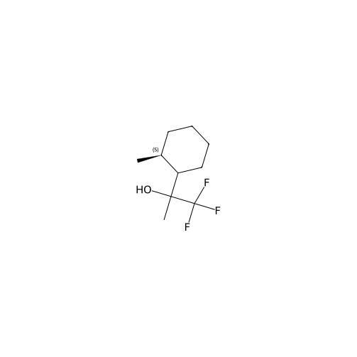 C[C@H]1CCCCC1C(C)(O)C(F)(F)F